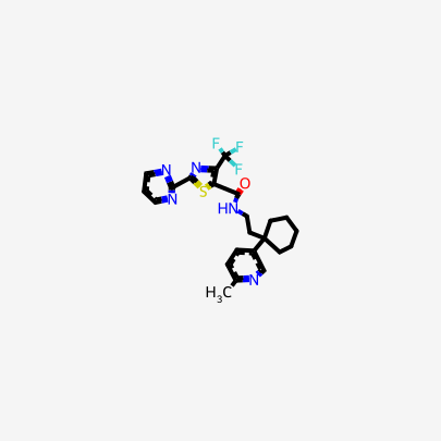 Cc1ccc(C2(CCNC(=O)c3sc(-c4ncccn4)nc3C(F)(F)F)CCCCC2)cn1